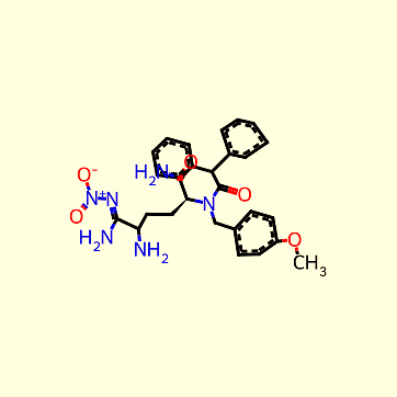 COc1ccc(CN(C(=O)C(c2ccccc2)c2ccccc2)[C@@H](CCC(N)C(N)=N[N+](=O)[O-])C(N)=O)cc1